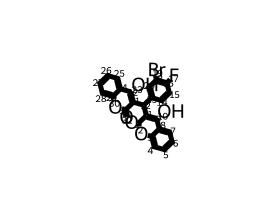 O=c1oc2ccccc2c(O)c1C(c1ccc(F)c(Br)c1)c1c(O)c2ccccc2oc1=O